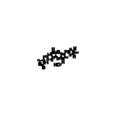 Cl.O=C1Nc2cc(F)c(CN3CCOC3=O)cc2C1=Cc1cc(CN2C[C@H]3C[C@H]3C2)c[nH]1